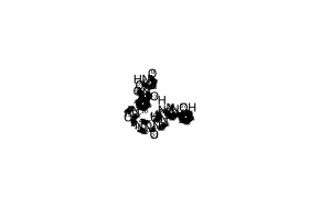 O=C1CCC(N2C(=O)c3ccc(N4CCOC(CN5CCN(C(=O)N6CCN7c8cc(-c9ccccc9O)nnc8NC[C@H]7C6)CC5)C4)cc3C2=O)C(=O)N1